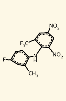 Cc1cc(F)ccc1Nc1c([N+](=O)[O-])cc([N+](=O)[O-])cc1C(F)(F)F